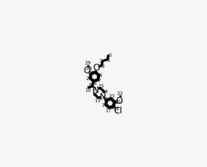 CCCCOc1ccc(C(C)N2CCN(c3ccc(Cl)c(OC)c3)CC2)cc1OC